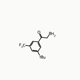 BCC(=O)c1cc(C(C)(C)C)cc(C(F)(F)F)c1